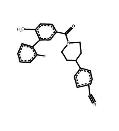 Cc1ccc(C(=O)N2CCC(c3ccc(C#N)cc3)CC2)cc1-c1ccc[c]c1F